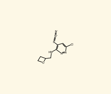 [N-]=[N+]=Nc1cc(Cl)nnc1NCC1CCO1